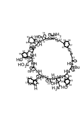 CCC[C@@H]1NC(=O)[C@H](CCc2c[nH]c3ncccc23)NC(=O)[C@H]([C@@H](C)O)NC(=O)[C@H](CCCN)NC(=O)[C@H](Cc2ccc(O)cc2)NC(=O)[C@H](C(C)(C)C)NC(=O)CCSCc2cccc(c2)CSC[C@@H](C(N)=O)NC(=O)[C@H]([C@@H](C)O)NC(=O)[C@H](C2CCCCC2)NC(=O)[C@H](Cc2ccc(O)cc2)NC(=O)[C@H](CC(=O)O)NC1=O